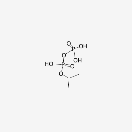 CC(C)OP(=O)(O)OP(=O)(O)O